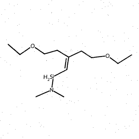 CCOCCC(=C[SiH2]N(C)C)CCOCC